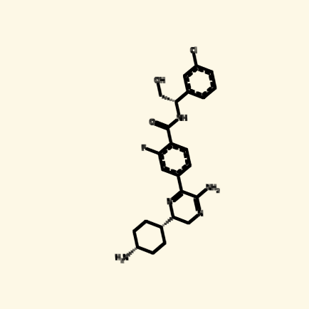 NC1=NCC([C@H]2CC[C@@H](N)CC2)N=C1c1ccc(C(=O)N[C@H](CO)c2cccc(Cl)c2)c(F)c1